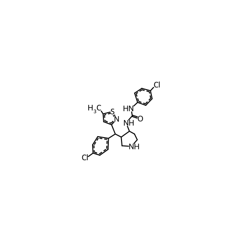 Cc1cc(C(c2ccc(Cl)cc2)C2CNCCC2NC(=O)Nc2ccc(Cl)cc2)ns1